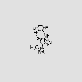 Cn1nc(F)cc1-c1cc2c(n3cnnc13)NCc1c(F)ccc3c1[C@@H](CO3)CO2